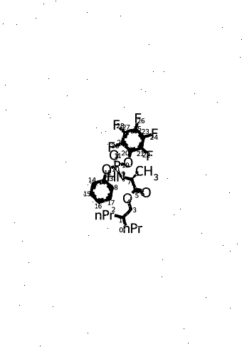 CCCC(CCC)COC(=O)[C@H](C)N[P@](=O)(Oc1ccccc1)Oc1c(F)c(F)c(F)c(F)c1F